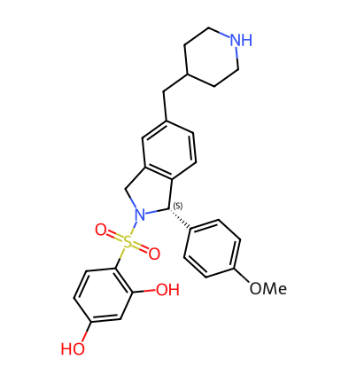 COc1ccc([C@H]2c3ccc(CC4CCNCC4)cc3CN2S(=O)(=O)c2ccc(O)cc2O)cc1